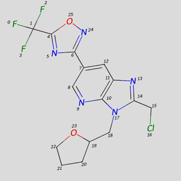 FC(F)(F)c1nc(-c2cnc3c(c2)nc(CCl)n3CC2CCCO2)no1